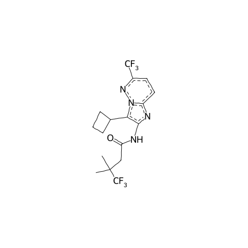 CC(C)(CC(=O)Nc1nc2ccc(C(F)(F)F)nn2c1C1CCC1)C(F)(F)F